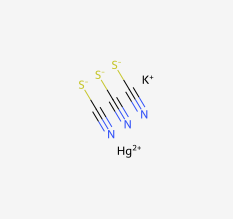 N#C[S-].N#C[S-].N#C[S-].[Hg+2].[K+]